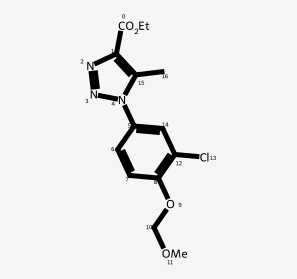 CCOC(=O)c1nnn(-c2ccc(OCOC)c(Cl)c2)c1C